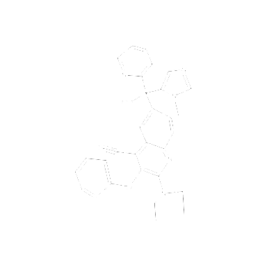 CCN(CC)c1nc2ccc(C(O)(c3ccccn3)c3cncn3C)cc2c(C#N)c1Oc1ccccc1